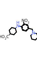 O=C(O)[C@H]1CC[C@@H](Nc2ccc(CN3CCCCC3)cc2[N+](=O)[O-])CC1